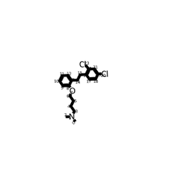 CN(C)CCCCOc1ccccc1CCc1ccc(Cl)cc1Cl